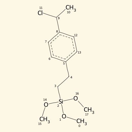 CO[Si](CCc1ccc(C(C)Cl)cc1)(OC)OC